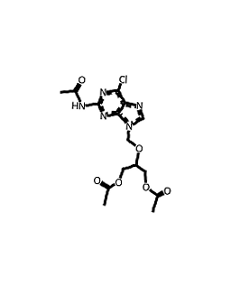 CC(=O)Nc1nc(Cl)c2ncn(COC(COC(C)=O)COC(C)=O)c2n1